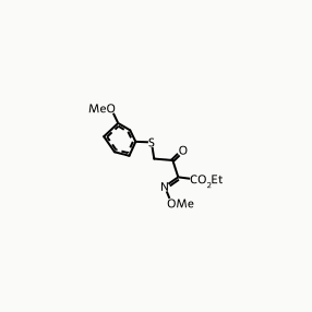 CCOC(=O)C(=NOC)C(=O)CSc1cccc(OC)c1